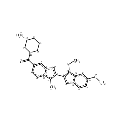 CCn1c(-c2nc3cc(C(=O)N4CCC[C@@H](N)C4)ccn3c2C)cc2ccc(OC)cc21